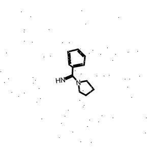 N=C(c1cc[c]cc1)N1CCCC1